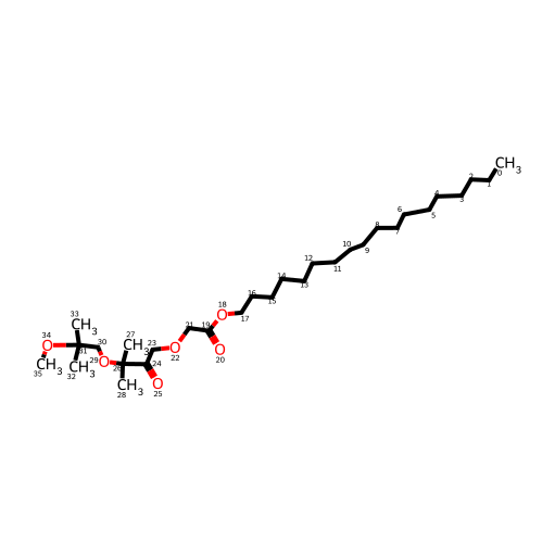 CCCCCCCCCCCCCCCCCCOC(=O)COCC(=O)C(C)(C)OCC(C)(C)OC